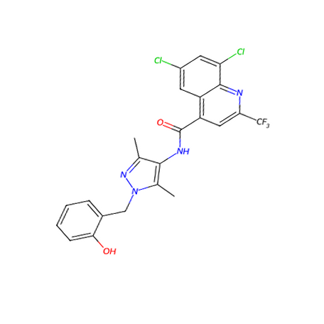 Cc1nn(Cc2ccccc2O)c(C)c1NC(=O)c1cc(C(F)(F)F)nc2c(Cl)cc(Cl)cc12